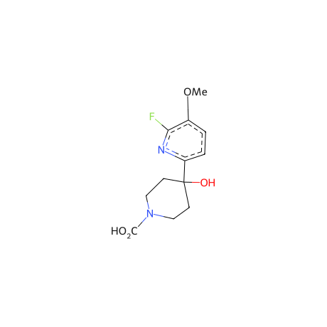 COc1ccc(C2(O)CCN(C(=O)O)CC2)nc1F